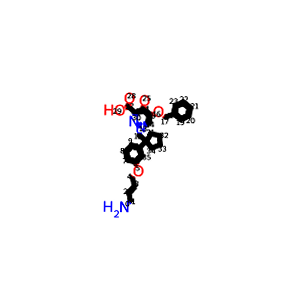 NC/C=C/COc1cccc(C2(Cn3cc(OCc4ccccc4)c(=O)c(C(=O)O)n3)CCCC2)c1